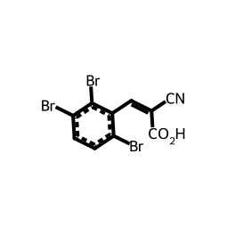 N#CC(=Cc1c(Br)ccc(Br)c1Br)C(=O)O